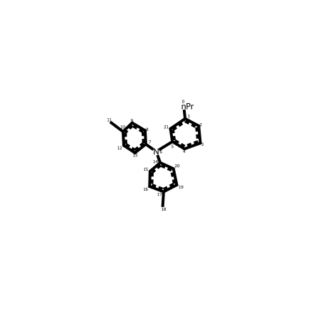 CCCc1cccc(N(c2ccc(C)cc2)c2ccc(C)cc2)c1